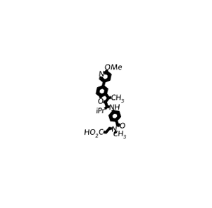 COc1ccc(-c2ccc3c(c2)C(C)C(C(Nc2ccc(C(=O)N(C)CCC(=O)O)cc2)C(C)C)O3)cn1